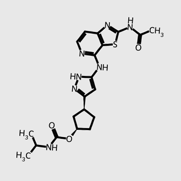 CC(=O)Nc1nc2ccnc(Nc3cc([C@H]4CC[C@@H](OC(=O)NC(C)C)C4)n[nH]3)c2s1